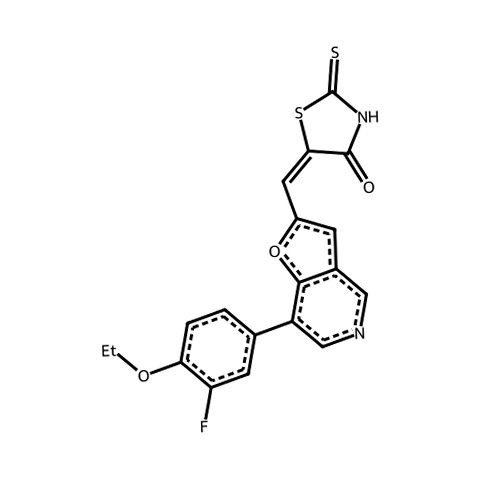 CCOc1ccc(-c2cncc3cc(/C=C4/SC(=S)NC4=O)oc23)cc1F